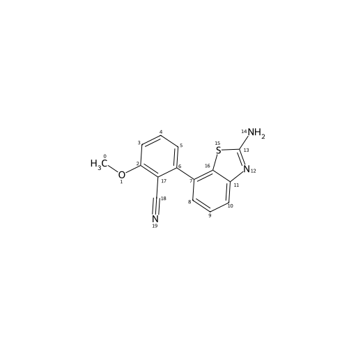 COc1cccc(-c2cccc3nc(N)sc23)c1C#N